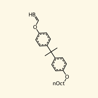 B=COc1ccc(C(C)(C)c2ccc(OCCCCCCCC)cc2)cc1